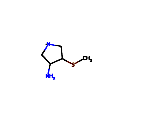 CSC1C[N]CC1N